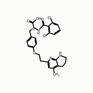 Cc1cc(CCOc2ccc(C[C@H](NC(=O)c3c(Cl)cccc3Cl)C(=O)O)cc2)nc2c1CCCN2